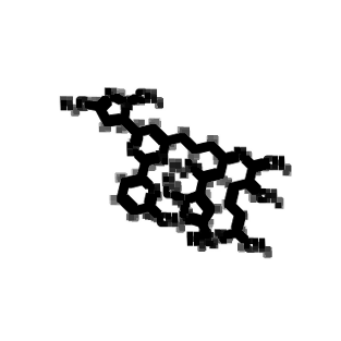 C=C(/C=C\C=C(\C)N)C(=C)/N=C(\C=C(/N)c1cc(C)nn1C)CCCc1cc(-c2cc(C)nn2C)nc(-c2cccc(C)n2)n1